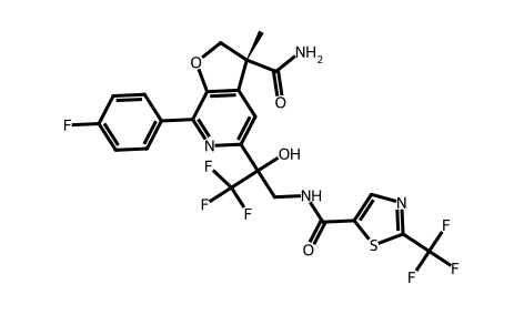 C[C@]1(C(N)=O)COc2c1cc(C(O)(CNC(=O)c1cnc(C(F)(F)F)s1)C(F)(F)F)nc2-c1ccc(F)cc1